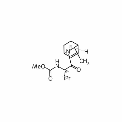 COC(=O)N[C@H](C(=O)N1C2C=CC(CC2)[C@H]1C)C(C)C